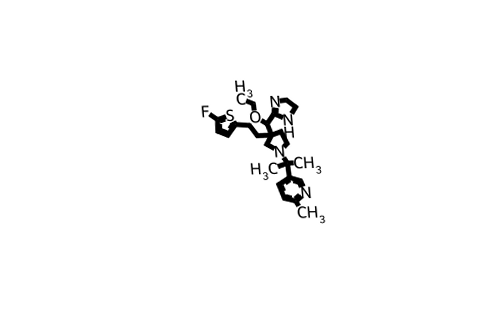 CCOC(C1=NCCN1)C1(CCc2ccc(F)s2)CCN(C(C)(C)c2ccc(C)nc2)C1